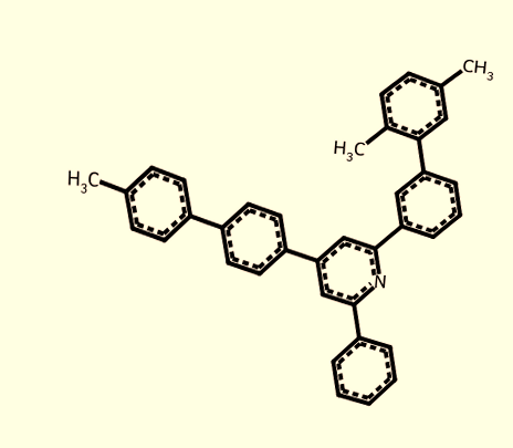 Cc1ccc(-c2ccc(-c3cc(-c4ccccc4)nc(-c4cccc(-c5cc(C)ccc5C)c4)c3)cc2)cc1